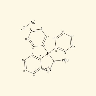 CC(=O)[O-].CCCCC([N+](=O)[O-])[P+](c1ccccc1)(c1ccccc1)c1ccccc1